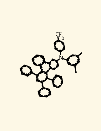 Cc1cc(C)cc(N(c2ccc(C(F)(F)F)cc2)c2ccc3c(c2)c2ccccc2c2c(-c4ccccc4)cc(-c4ccccc4)c(-c4ccccc4)c32)c1